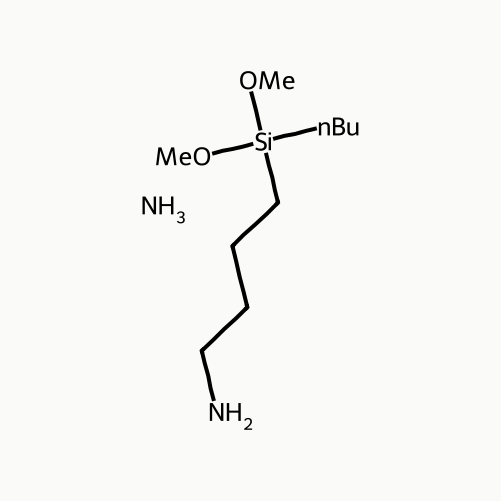 CCCC[Si](CCCCN)(OC)OC.N